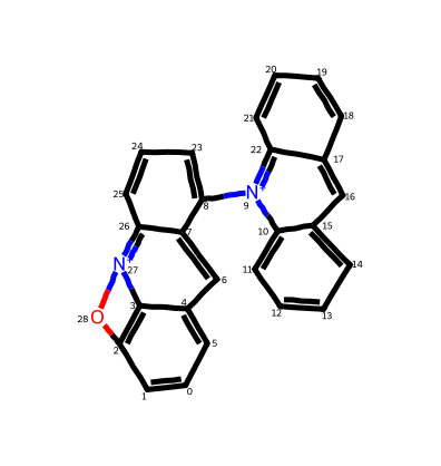 c1cc2c3c(c1)cc1c(-[n+]4c5ccccc5cc5ccccc54)cccc1[n+]3O2